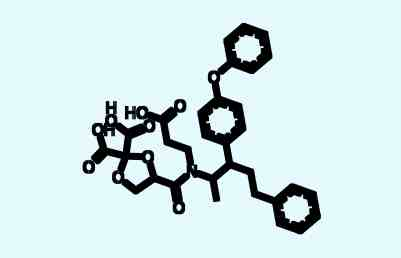 CC(C(CCc1ccccc1)c1ccc(Oc2ccccc2)cc1)N(CCC(=O)O)C(=O)C1COC(C(=O)O)(C(=O)O)O1